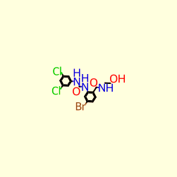 O=C(Nc1cc(Cl)cc(Cl)c1)Nc1cc(Br)ccc1C(=O)NCCO